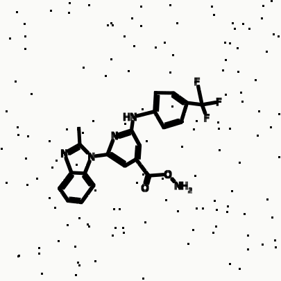 Cc1nc2ccccc2n1-c1cc(C(=O)ON)cc(Nc2ccc(C(F)(F)F)cc2)n1